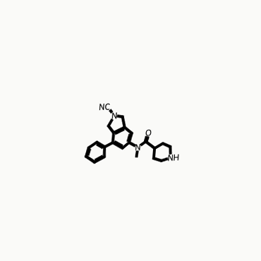 CN(C(=O)C1CCNCC1)c1cc2c(c(-c3ccccc3)c1)CN(C#N)C2